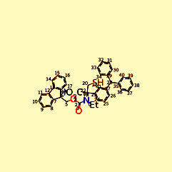 CCN(C(=O)OCC1c2ccccc2-c2ccccc21)[C@@](CS)(C(=O)O)c1cccc(C(c2ccccc2)c2ccccc2)c1